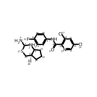 NC1N[C@@]2(c3cc(NC(=O)c4ncc(Cl)cc4Cl)ccc3F)CCC[C@H]2CS1